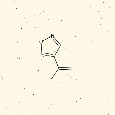 C=C(C)c1cnoc1